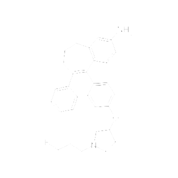 Nc1ccc2c(c1)CCCC(c1ccccc1)=C2c1ccc(OC2CCN(CCCF)C2)cc1